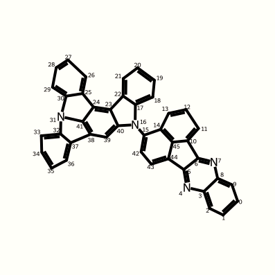 c1ccc2nc3c(nc2c1)-c1cccc2c(-n4c5ccccc5c5c6c7ccccc7n7c8ccccc8c(cc54)c67)ccc-3c12